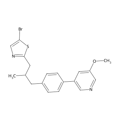 COc1cncc(-c2ccc(CC(C)Cc3ncc(Br)s3)cc2)c1